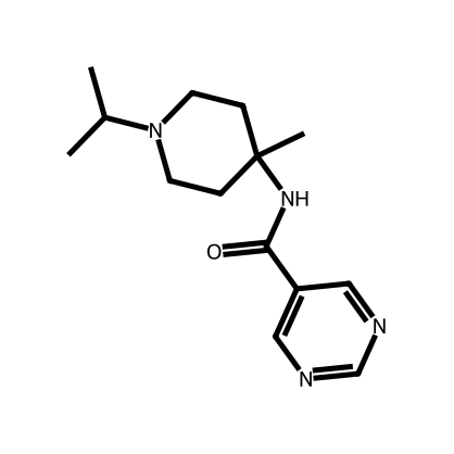 CC(C)N1CCC(C)(NC(=O)c2cncnc2)CC1